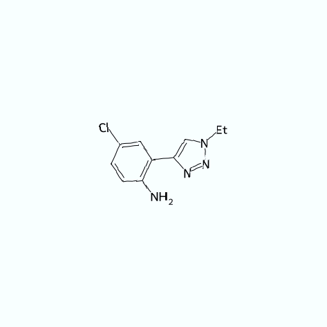 CCn1cc(-c2cc(Cl)ccc2N)nn1